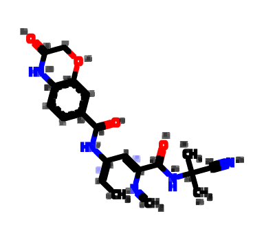 C=N/C(=C\C(=C/C)NC(=O)c1ccc2c(c1)OCC(=O)N2)C(=O)NC(C)(C)C#N